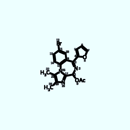 CC(=O)OC1N=C(c2ccco2)c2cc(Br)ccc2-n2c1nc(C)c2C